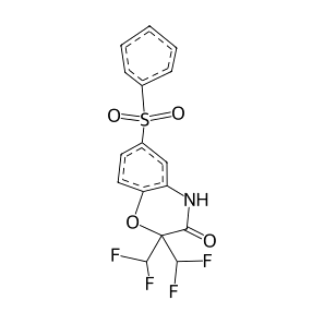 O=C1Nc2cc(S(=O)(=O)c3ccccc3)ccc2OC1(C(F)F)C(F)F